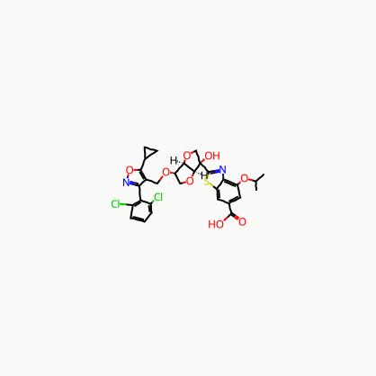 CC(C)Oc1cc(C(=O)O)cc2sc([C@@]3(O)CO[C@@H]4[C@H](OCc5c(-c6c(Cl)cccc6Cl)noc5C5CC5)CO[C@@H]43)nc12